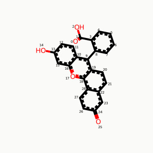 O=C(O)c1ccccc1-c1c2ccc(O)cc2oc2c1ccc1cc(=O)ccc12